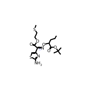 CCCC(O/N=C(\C(=O)OCCSC)c1csc(N)n1)C(=O)OC(C)(C)C